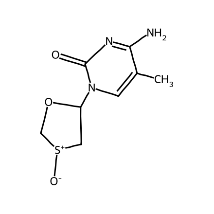 Cc1cn(C2C[S+]([O-])CO2)c(=O)nc1N